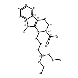 CCCN(CCC)CCCC1c2c(c3ccccc3n2C)CCN1C(C)=O